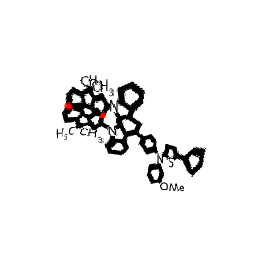 COc1cccc(N(c2ccc(-c3cc4c5ccccc5n(-c5ccc6c(c5)C(C)(C)c5ccccc5-6)c4c4c3c3ccccc3n4-c3ccc4c(c3)C(C)(C)c3ccccc3-4)cc2)c2ccc(-c3ccccc3)s2)c1